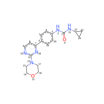 O=C(Nc1ccc(-c2ccnc(N3CCOCC3)n2)cc1)NC1CC1